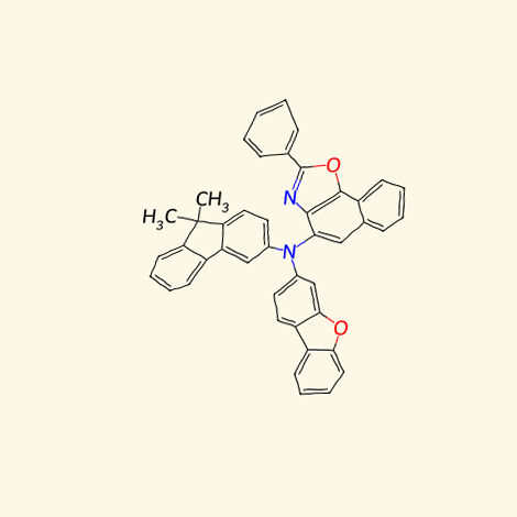 CC1(C)c2ccccc2-c2cc(N(c3ccc4c(c3)oc3ccccc34)c3cc4ccccc4c4oc(-c5ccccc5)nc34)ccc21